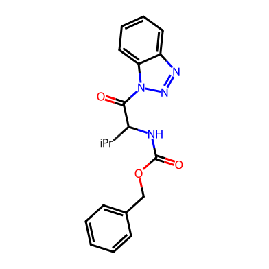 CC(C)C(NC(=O)OCc1ccccc1)C(=O)n1nnc2ccccc21